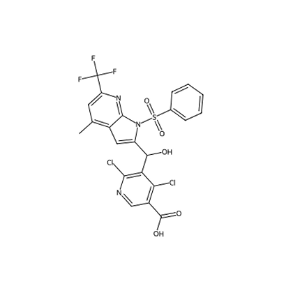 Cc1cc(C(F)(F)F)nc2c1cc(C(O)c1c(Cl)ncc(C(=O)O)c1Cl)n2S(=O)(=O)c1ccccc1